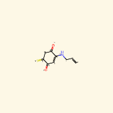 C=CCNC1=CC(=O)C(=S)CC1=O